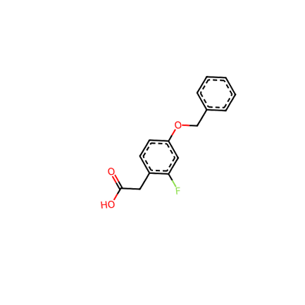 O=C(O)Cc1ccc(OCc2ccccc2)cc1F